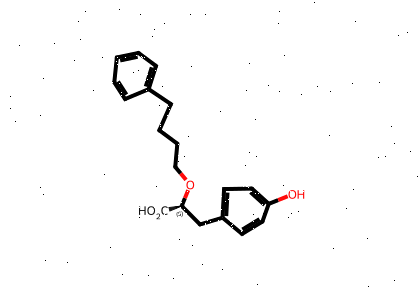 O=C(O)[C@H](Cc1ccc(O)cc1)OCCCCc1ccccc1